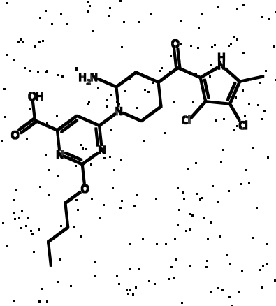 CCCCOc1nc(C(=O)O)cc(N2CCC(C(=O)c3[nH]c(C)c(Cl)c3Cl)CC2N)n1